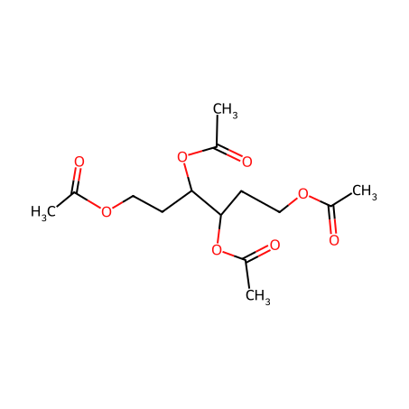 CC(=O)OCCC(OC(C)=O)C(CCOC(C)=O)OC(C)=O